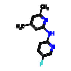 Cc1cc(C)nc(Nc2ccc(F)cn2)c1